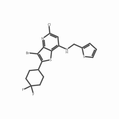 FC1(F)CCC(c2sc3c(NCc4cccs4)cc(Cl)nc3c2Br)CC1